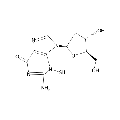 Nc1nc(=O)c2ncn([C@H]3C[C@H](O)[C@@H](CO)O3)c2n1S